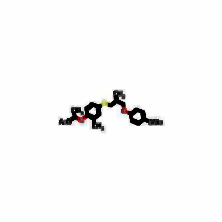 C=C(COc1ccc(OC)cc1)CSc1ccc(OC(C)OC(C)=O)c(C)c1